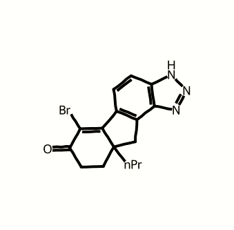 CCCC12CCC(=O)C(Br)=C1c1ccc3[nH]nnc3c1C2